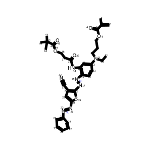 C=C(C)C(=O)OCCCN(CC)c1ccc(/N=N/c2sc(/N=N/c3ccccc3)cc2C#N)c(NC(=O)CCOC(=O)C(C)(C)C)c1